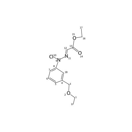 CCOCc1cccc(N(Cl)N=CC(=O)OCC)c1